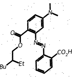 CCCCC(CC)COC(=O)c1ccc(N(C)C)cc1N=Nc1ccccc1C(=O)O